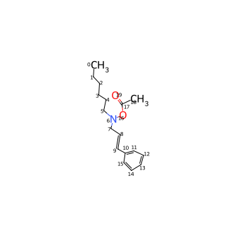 CCCCCCN(C/C=C/c1ccccc1)OC(C)=O